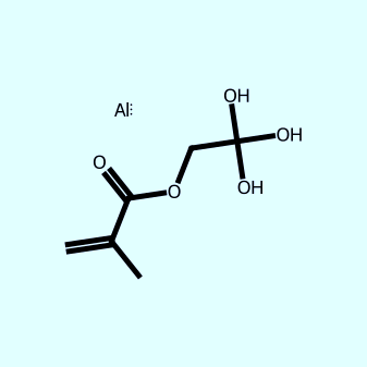 C=C(C)C(=O)OCC(O)(O)O.[Al]